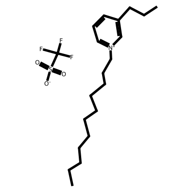 CCCCCCCCCCC[n+]1cccc(CCC)c1.O=S(=O)([O-])C(F)(F)F